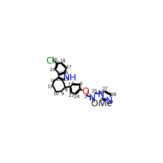 CON(COc1ccc(C2CCCCc3c2[nH]c2ccc(Cl)cc32)cc1)Cn1ccnc1